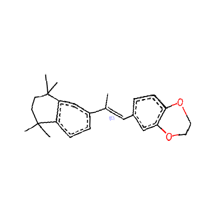 C/C(=C\c1ccc2c(c1)OCCO2)c1ccc2c(c1)C(C)(C)CCC2(C)C